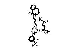 O=C(O)C=CC(=O)O.O=C1c2ccsc2CCCN1CCCCN1CCN(c2cccc(C(F)(F)F)c2)CC1